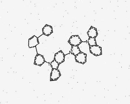 C1=CC(c2ccccc2)=CC(c2cccc(-n3c4ccccc4c4cc(-n5c6ccccc6c6c(-n7c8ccccc8c8ccccc87)cccc65)ccc43)c2)C1